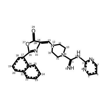 N=C(Nc1ncccn1)N1CCN(C=C2N=C(c3cccc4ccccc34)OC2=O)CC1